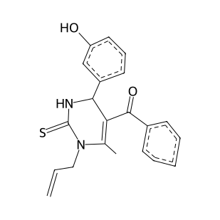 C=CCN1C(=S)NC(c2cccc(O)c2)C(C(=O)c2ccccc2)=C1C